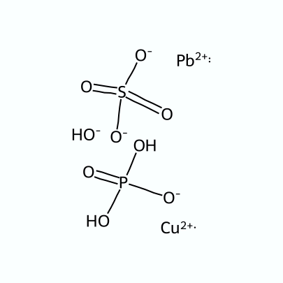 O=P([O-])(O)O.O=S(=O)([O-])[O-].[Cu+2].[OH-].[Pb+2]